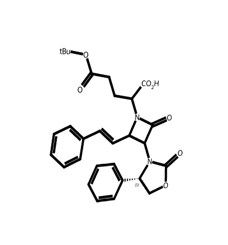 CC(C)(C)OC(=O)CCC(C(=O)O)N1C(=O)C(N2C(=O)OC[C@@H]2c2ccccc2)C1C=Cc1ccccc1